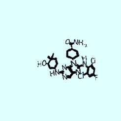 CC1(C)CC[C@@H](Nc2ncc3nc(Nc4c(Cl)cc(F)cc4Cl)n([C@H]4CC[C@H](C(N)=O)CC4)c3n2)C[C@H]1O